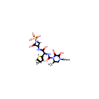 CCCCCN1CC(C)N(C(=O)NC(C(=O)NC2CN(S(=O)(=O)[O-])C2=O)c2cccs2)C(=O)C1=O.[Na+]